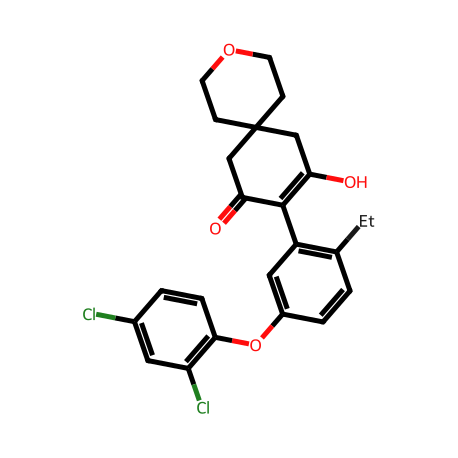 CCc1ccc(Oc2ccc(Cl)cc2Cl)cc1C1=C(O)CC2(CCOCC2)CC1=O